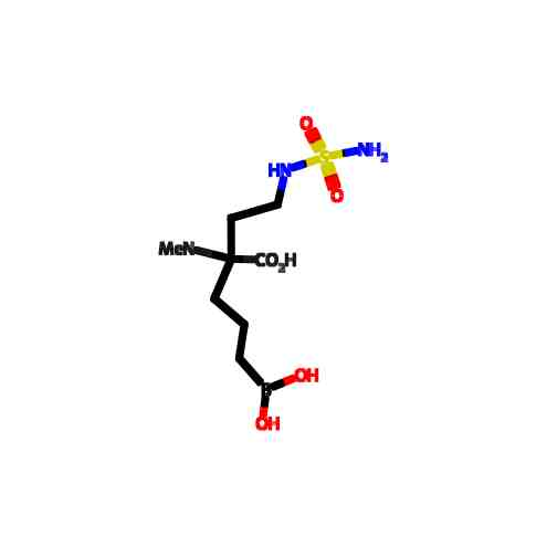 CNC(CCCB(O)O)(CCNS(N)(=O)=O)C(=O)O